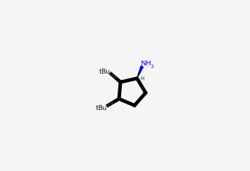 CC(C)(C)C1CC[C@H](N)C1C(C)(C)C